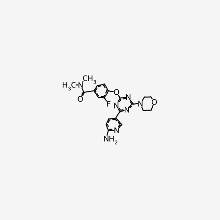 CN(C)C(=O)c1ccc(Oc2nc(-c3ccc(N)nc3)nc(N3CCOCC3)n2)c(F)c1